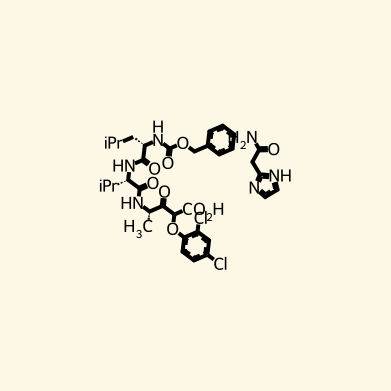 CC(C)C[C@H](NC(=O)OCc1ccccc1)C(=O)N[C@H](C(=O)N[C@@H](C)C(=O)C(Oc1ccc(Cl)cc1Cl)C(=O)O)C(C)C.NC(=O)Cc1ncc[nH]1